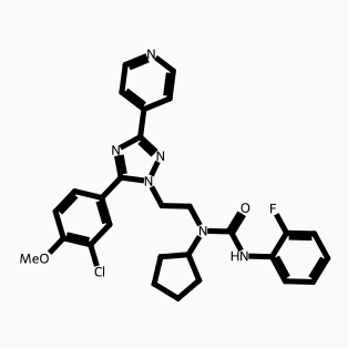 COc1ccc(-c2nc(-c3ccncc3)nn2CCN(C(=O)Nc2ccccc2F)C2CCCC2)cc1Cl